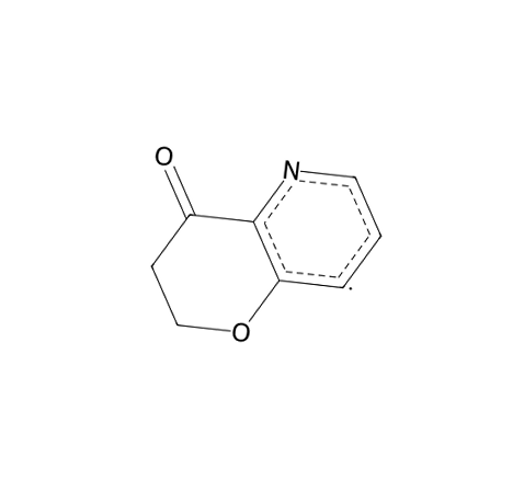 O=C1CCOc2[c]ccnc21